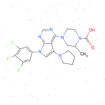 CC1CN(c2ncnc3c2c(N2CCCC2)cn3-c2cc(F)c(F)c(F)c2)CCN1C(=O)O